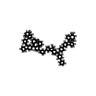 CC1(C)CCC(C)(C)c2c(-c3cccc(-n4c5ccccc5c5ccc(N(c6ccc(-c7cccc(-c8ccc9c(c8)-c8ccc(N(c%10ccc(-c%11ccccc%11)cc%10)c%10ccc(-c%11ccc%12c(c%11)c%11ccccc%11n%12-c%11cccc%12c%11C(C)(C)CCC%12(C)C)cc%10)cc8C9(C)C)c7)cc6)c6cccc7oc8ccccc8c67)cc54)c3)cccc21